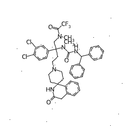 CN(CC(CCN1CCC2(CC1)NC(=O)Cc1ccccc12)(c1ccc(Cl)c(Cl)c1)N(C)C(=O)NC(c1ccccc1)c1ccccc1)C(=O)C(F)(F)F